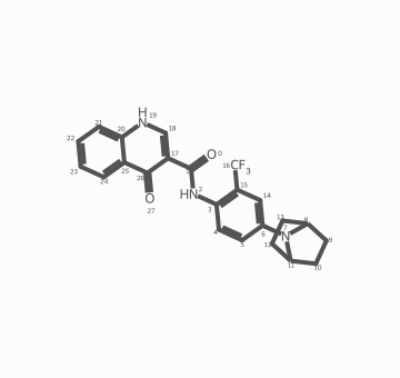 O=C(Nc1ccc(N2C3CCC2CC3)cc1C(F)(F)F)c1c[nH]c2ccccc2c1=O